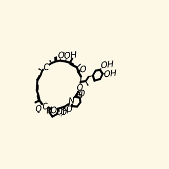 C=C1[C@H](C)C[C@H](C)/C=C/C=C/C=C(\C)[C@@H](OC)C[C@@H]2CC[C@@H](C)[C@@](O)(O2)C(=O)C(=O)N2CCCC[C@H]2C(=O)O[C@H]([C@H](C)C[C@@H]2CC[C@@H](O)[C@H](O)C2)CC(=O)[C@H](C)/C=C(\C)[C@@H](O)[C@H]1OC